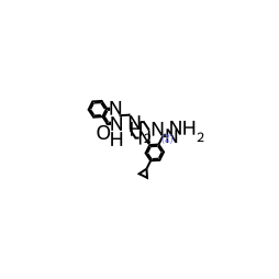 N/N=C(\N)c1ccc(C2CC2)cc1N1CCN(Cc2nc3ccccc3c(=O)[nH]2)CC1